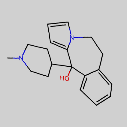 CN1CCC(C2(O)c3ccccc3CCn3cccc32)CC1